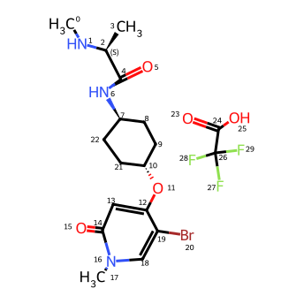 CN[C@@H](C)C(=O)N[C@H]1CC[C@H](Oc2cc(=O)n(C)cc2Br)CC1.O=C(O)C(F)(F)F